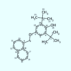 CC(C)(C)c1cc(OCc2cccc3ccccc23)cc(C(C)(C)C)c1O